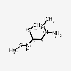 CSNC(CN(N)SC)SC